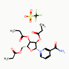 CCC(=O)OC[C@H]1O[C@@H]([n+]2cccc(C(N)=O)c2)[C@H](OC(=O)CC)[C@@H]1OC(=O)CC.O=S(=O)([O-])C(F)(F)F